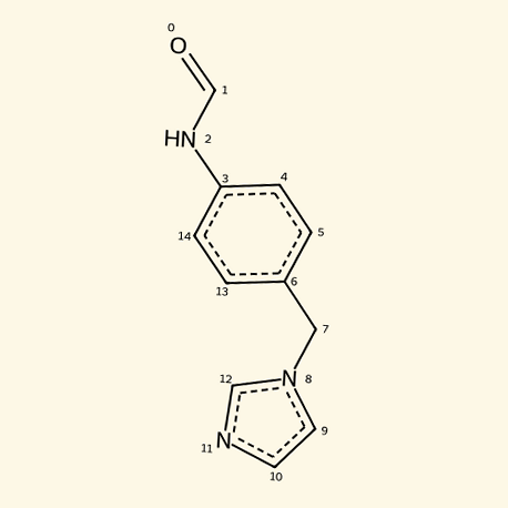 O=CNc1ccc(Cn2ccnc2)cc1